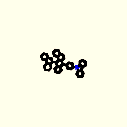 c1ccc2c3c(c(-c4c5ccccc5c(-c5ccc(-n6c7ccccc7c7ccccc76)cc5)c5ccc6ccccc6c45)cc2c1)CCCC3